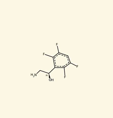 NC[C@H](O)c1c(F)c(F)cc(F)c1F